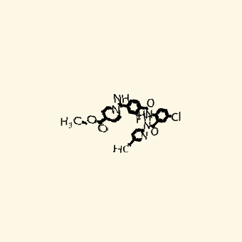 C#Cc1ccc(NC(=O)c2cc(Cl)ccc2NC(=O)c2ccc(C(=N)N3CCC(C(=O)OCC)CC3)cc2F)nc1